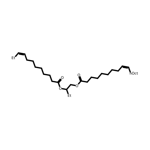 CC/C=C\CCCCCCCC(=O)OC(CC)COC(=O)CCCCCCC/C=C\CCCCCCCC